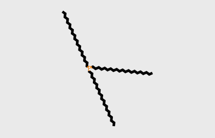 CCCCCCCCCCCCCCCCCCCCCP(CCCCCCCCCCCCCCCCCCCCC)CCCCCCCCCCCCCCCCCCCCC